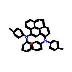 Cc1ccc(N(c2ccccc2)c2cc3c(N(c4ccccc4)c4ccc(C)cc4)ccc4ccc5cccc2c5c43)cc1